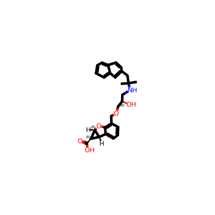 CC(C)(Cc1ccc2ccccc2c1)NC[C@@H](O)COCc1cccc2c1O[C@H]1[C@H](C(=O)O)[C@@H]21